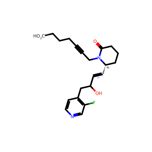 O=C(O)CCCC#CCN1C(=O)CCC[C@@H]1/C=C/C(O)Cc1ccncc1F